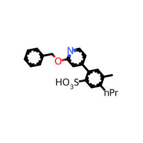 CCCc1cc(S(=O)(=O)O)c(-c2ccnc(OCc3ccccc3)c2)cc1C